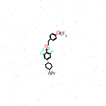 CCC[C@H]1CC[C@H](c2cc(F)c(C(F)(F)OCCc3ccc(OC(F)(F)F)cc3)c(F)c2)CC1